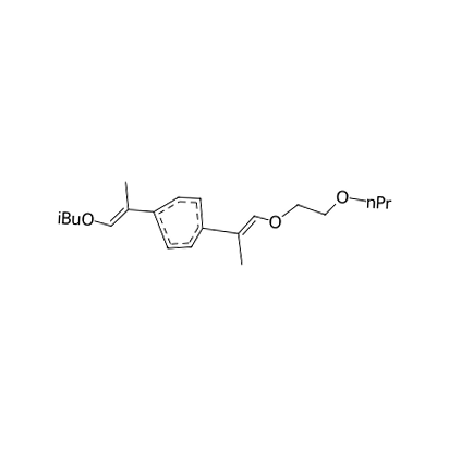 CCCOCCOC=C(C)c1ccc(C(C)=COCC(C)C)cc1